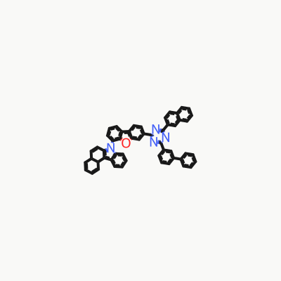 C1=CC2C=Cc3c(c4ccccc4n3-c3cccc4c3oc3cc(-c5nc(-c6cccc(-c7ccccc7)c6)nc(-c6ccc7ccccc7c6)n5)ccc34)C2C=C1